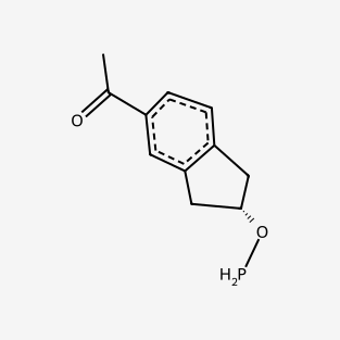 CC(=O)c1ccc2c(c1)C[C@@H](OP)C2